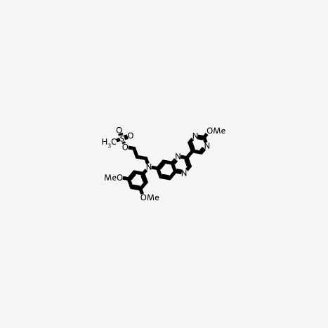 COc1cc(OC)cc(N(CCCOS(C)(=O)=O)c2ccc3ncc(-c4cnc(OC)nc4)nc3c2)c1